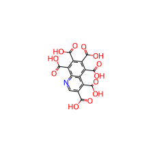 O=C(O)c1cnc2c(C(=O)O)c(C(=O)O)c(C(=O)O)c(C(=O)O)c2c1C(=O)O